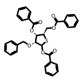 O=C(OC[C@H]1SC(OC(=O)c2ccccc2)[C@H](OCc2ccccc2)[C@@H]1OC(=O)c1ccccc1)c1ccccc1